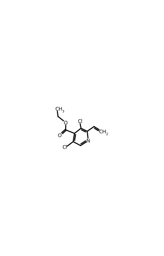 C=Cc1ncc(Cl)c(C(=O)OCC)c1Cl